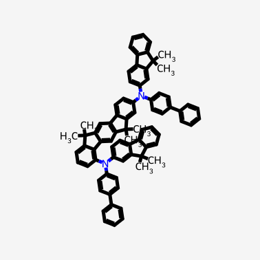 CC1(C)c2ccccc2-c2ccc(N(c3ccc(-c4ccccc4)cc3)c3ccc4c(c3)C(C)(C)c3cc5c(cc3-4)C(C)(C)c3cccc(N(c4ccc(-c6ccccc6)cc4)c4ccc6c(c4)C(C)(C)c4ccccc4-6)c3-5)cc21